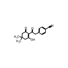 CC1(C)CC(=O)C(C(=O)Cc2ccc(C#N)cc2)=C(O)C1